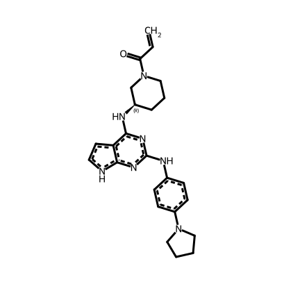 C=CC(=O)N1CCC[C@@H](Nc2nc(Nc3ccc(N4CCCC4)cc3)nc3[nH]ccc23)C1